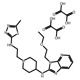 CCOCCn1c(NC2CCN(CCNc3nnc(C)s3)CC2)nc2cccnc21.O=C(O)C(=O)O.O=C(O)C(=O)O